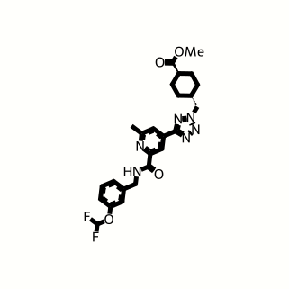 COC(=O)[C@H]1CC[C@H](Cn2nnc(-c3cc(C)nc(C(=O)NCc4cccc(OC(F)F)c4)c3)n2)CC1